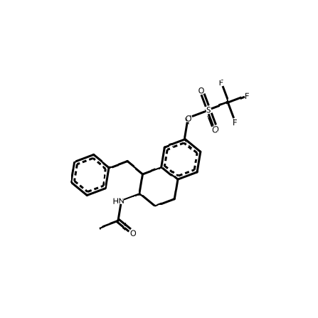 CC(=O)NC1CCc2ccc(OS(=O)(=O)C(F)(F)F)cc2C1Cc1ccccc1